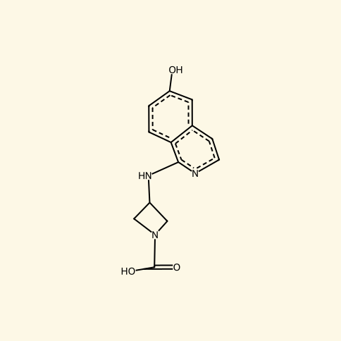 O=C(O)N1CC(Nc2nccc3cc(O)ccc23)C1